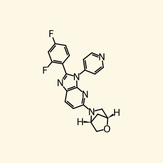 Fc1ccc(-c2nc3ccc(N4C[C@H]5C[C@@H]4CO5)nc3n2-c2ccncc2)c(F)c1